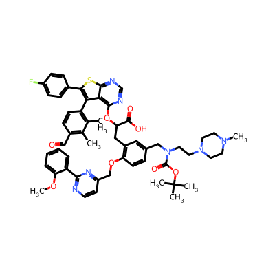 COc1ccccc1-c1nccc(COc2ccc(CN(CCN3CCN(C)CC3)C(=O)OC(C)(C)C)cc2CC(Oc2ncnc3sc(-c4ccc(F)cc4)c(-c4ccc(C=O)c(C)c4C)c23)C(=O)O)n1